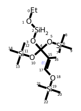 CCO[SiH2]OC(O[Si](C)(C)C)(O[Si](C)(C)C)/C(C)=C/O[Si](C)(C)C